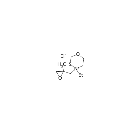 CC[N+]1(CC2(C)CO2)CCOCS1.[Cl-]